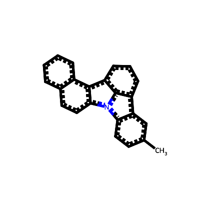 Cc1ccc2c(c1)c1cccc3c4c5ccccc5ccc4n2c13